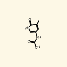 Cc1cc(NC(=O)O)c[nH]c1=O